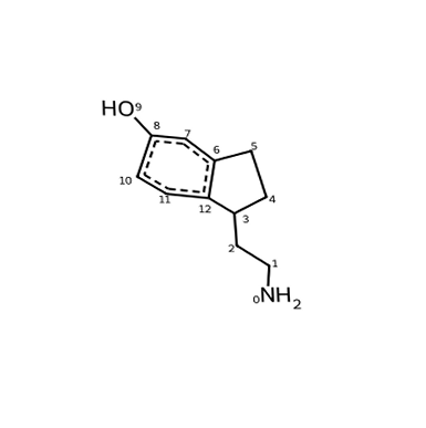 NCCC1CCc2cc(O)ccc21